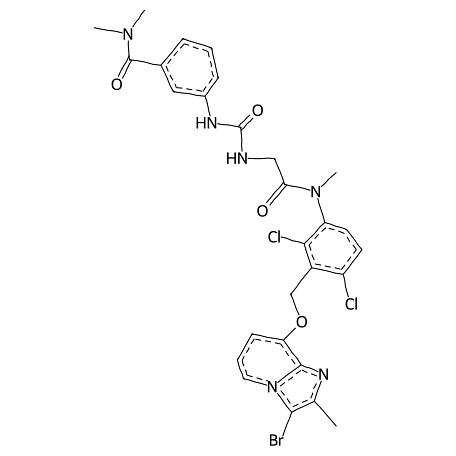 Cc1nc2c(OCc3c(Cl)ccc(N(C)C(=O)CNC(=O)Nc4cccc(C(=O)N(C)C)c4)c3Cl)cccn2c1Br